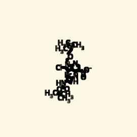 CC(C)(C)OC(=O)NC1CC(Nc2c([N+](=O)[O-])cnc3c2c(Br)c(Cl)n3COCC[Si](C)(C)C)C1